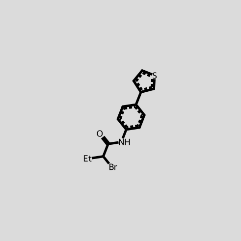 CCC(Br)C(=O)Nc1ccc(-c2ccsc2)cc1